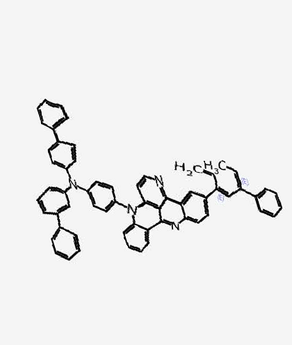 C=C/C(=C\C(=C/C)c1ccccc1)c1ccc2nc3c4c(ccnc4c2c1)N(c1ccc(N(c2ccc(-c4ccccc4)cc2)c2cccc(-c4ccccc4)c2)cc1)c1ccccc1-3